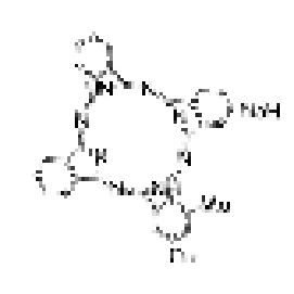 [Cu].[Mo][c]1cccc2c3nc4nc(nc5[nH]c(nc6nc(nc([nH]3)c12)-c1ccccc1-6)c1ccccc51)-c1ccccc1-4.[NaH]